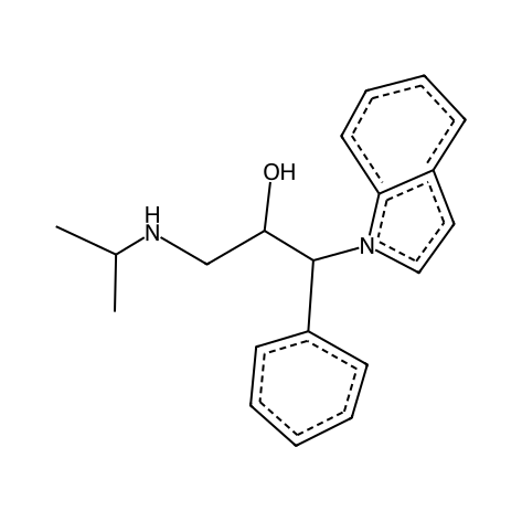 CC(C)NCC(O)C(c1ccccc1)n1ccc2ccccc21